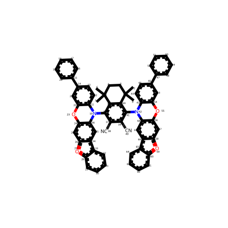 CC1(C)CCC(C)(C)c2c(N3c4ccc(-c5ccccc5)cc4Oc4cc5oc6ccccc6c5cc43)c(C#N)c(C#N)c(N3c4ccc(-c5ccccc5)cc4Oc4cc5oc6ccccc6c5cc43)c21